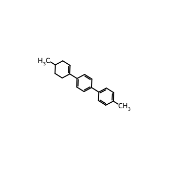 Cc1ccc(-c2ccc(C3=CCC(C)CC3)cc2)cc1